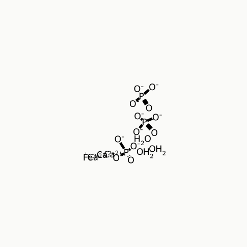 O.O.O.O=P([O-])([O-])[O-].O=P([O-])([O-])[O-].O=P([O-])([O-])[O-].[Ca+2].[Ca+2].[Ca+2].[Fe+3]